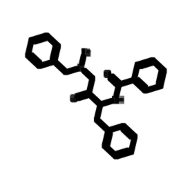 CCN(CC(=O)C(Cc1ccccc1)NC(=O)c1ccccc1)Cc1ccccc1